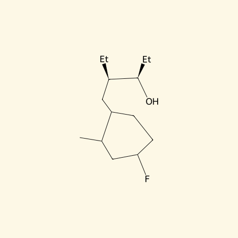 CC[C@H](CC1CCC(F)CC1C)[C@H](O)CC